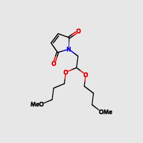 COCCCOC(CN1C(=O)C=CC1=O)OCCCOC